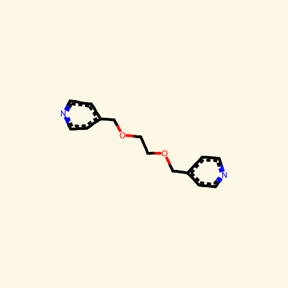 c1cc(COCCOCc2ccncc2)ccn1